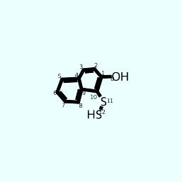 Oc1ccc2ccccc2c1SS